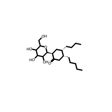 CCCCC[C@@H]1CC(=O)[C@@H](C2OC(CO)C(O)C(O)C2O)C[C@@H]1CCCC